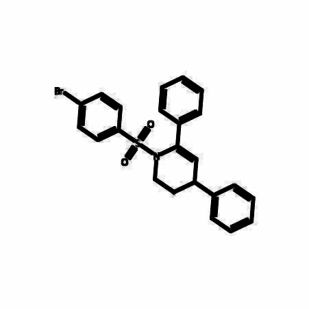 O=S(=O)(c1ccc(Br)cc1)N1C[CH]C(c2ccccc2)C=C1c1ccccc1